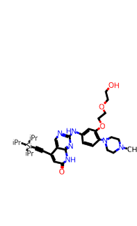 CC(C)[Si](C#Cc1cc(=O)[nH]c2nc(Nc3ccc(N4CCN(C)CC4)c(OCCOCCO)c3)ncc12)(C(C)C)C(C)C